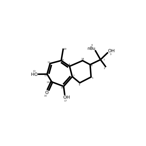 CCCCC(C)(O)C1CCc2c(c(C)cc(O)c(=O)c2O)C1